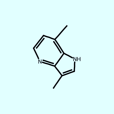 Cc1c[nH]c2c(C)ccnc12